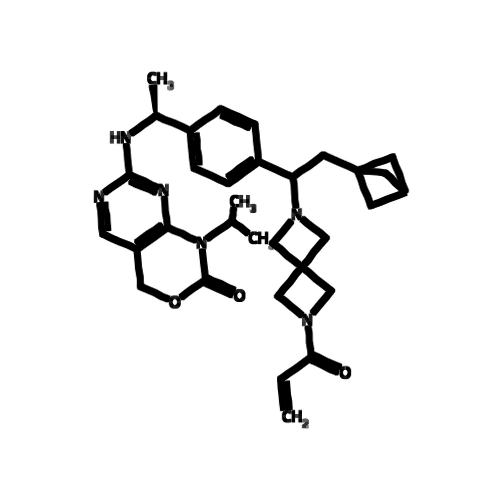 C=CC(=O)N1CC2(C1)CN(C(CC13CC(C1)C3)c1ccc([C@H](C)Nc3ncc4c(n3)N(C(C)C)C(=O)OC4)cc1)C2